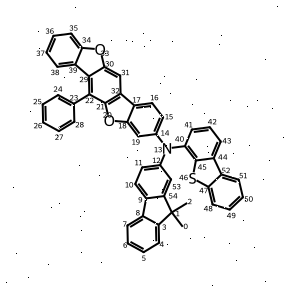 CC1(C)c2ccccc2-c2ccc(N(c3ccc4c(c3)oc3c(-c5ccccc5)c5c(cc34)oc3ccccc35)c3cccc4c3sc3ccccc34)cc21